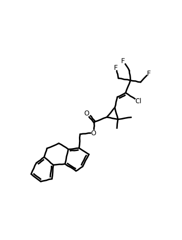 CC1(C)C(/C=C(\Cl)C(CF)(CF)CF)C1C(=O)OCc1cccc2c1CCc1ccccc1-2